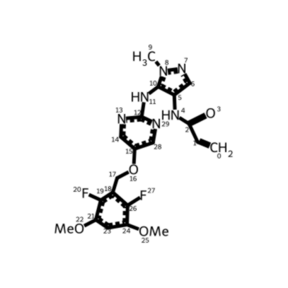 C=CC(=O)Nc1cnn(C)c1Nc1ncc(OCc2c(F)c(OC)cc(OC)c2F)cn1